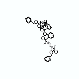 CN(CCN(C)C(=O)c1ccccc1OC(=O)c1cccn1S(=O)(=O)NC(=O)OCc1ccccc1)C(=O)OCc1ccccc1